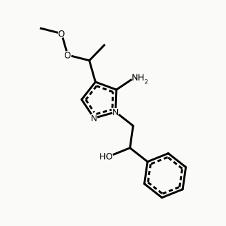 COOC(C)c1cnn(CC(O)c2ccccc2)c1N